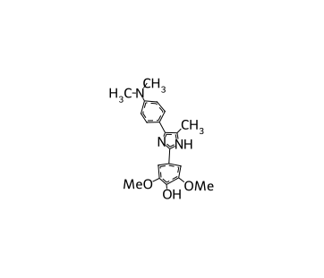 COc1cc(-c2nc(-c3ccc(N(C)C)cc3)c(C)[nH]2)cc(OC)c1O